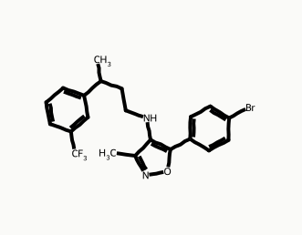 Cc1noc(-c2ccc(Br)cc2)c1NCCC(C)c1cccc(C(F)(F)F)c1